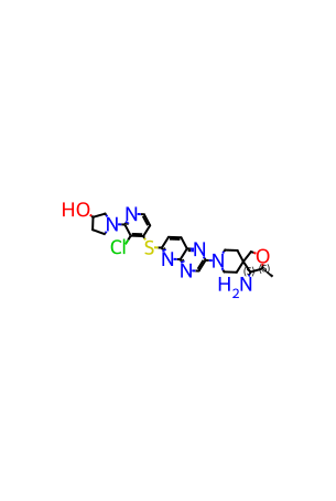 C[C@@H]1OCC2(CCN(c3cnc4nc(Sc5ccnc(N6CCC(O)C6)c5Cl)ccc4n3)CC2)[C@@H]1N